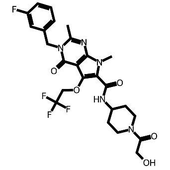 Cc1nc2c(c(OCC(F)(F)F)c(C(=O)NC3CCN(C(=O)CO)CC3)n2C)c(=O)n1Cc1cccc(F)c1